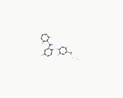 CS(=O)(=O)NC(=O)c1cc(Cl)c(-n2nc(-c3c(F)cccc3Cl)c3cc(Cl)ccc32)cc1F